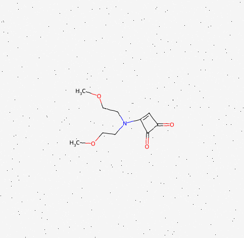 COCCN(CCOC)c1cc(=O)c1=O